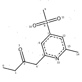 CCC(=O)Cc1cc(S(C)(=O)=O)cc(C)n1